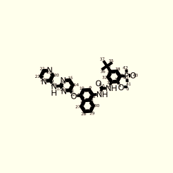 COc1c(NC(=O)Nc2ccc(Oc3ccnc(Nc4cnccn4)n3)c3ccccc23)cc(C(C)(C)C)cc1P(C)(C)=O